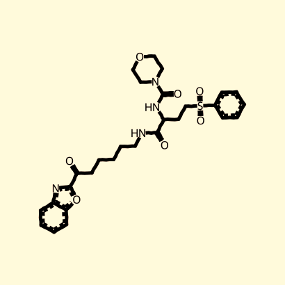 O=C(CCCCCNC(=O)C(CCS(=O)(=O)c1ccccc1)NC(=O)N1CCOCC1)c1nc2ccccc2o1